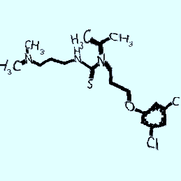 CC(C)N(CCCOc1cc(Cl)cc(Cl)c1)C(=S)NCCCN(C)C